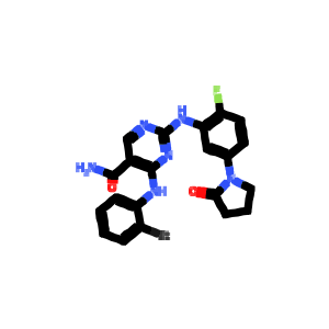 CCc1ccccc1Nc1nc(Nc2cc(N3CCCC3=O)ccc2F)ncc1C(N)=O